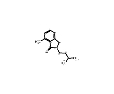 Cc1cccc2c1C(=O)N(CCC(C)C)C2